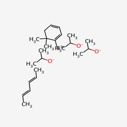 CC(C)[O-].CC(C)[O-].CC(C)[O-].CC1(C)CC=CC=[C]1[Ti+3].CC=CC=CC